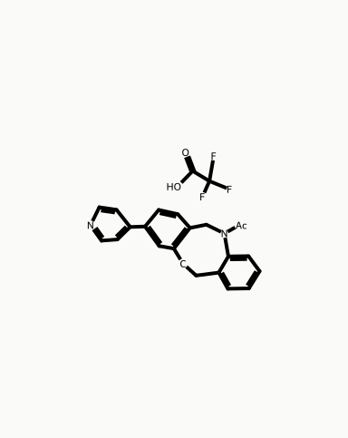 CC(=O)N1Cc2ccc(-c3ccncc3)cc2CCc2ccccc21.O=C(O)C(F)(F)F